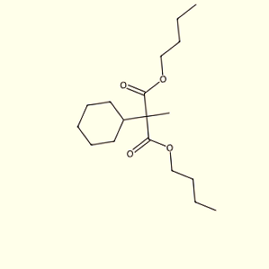 CCCCOC(=O)C(C)(C(=O)OCCCC)C1CCCCC1